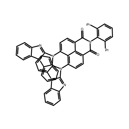 CC(C)c1cccc(C(C)C)c1N1C(=O)c2ccc(-n3c4ccccc4n4c5ccccc5nc34)c3c(-n4c5ccccc5n5c6ccccc6nc45)ccc(c23)C1=O